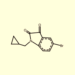 O=C1C(=O)N(CC2CC2)c2ccc(Br)cc21